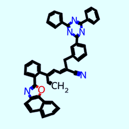 C=C/C(=C\C=C(\C#N)Cc1cccc(-c2nc(-c3ccccc3)nc(-c3ccccc3)n2)c1)c1ccccc1-c1nc2ccc3ccccc3c2o1